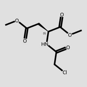 COC(=O)C[C@H](NC(=O)CCl)C(=O)OC